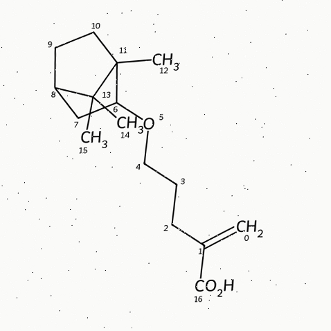 C=C(CCCOC1CC2CCC1(C)C2(C)C)C(=O)O